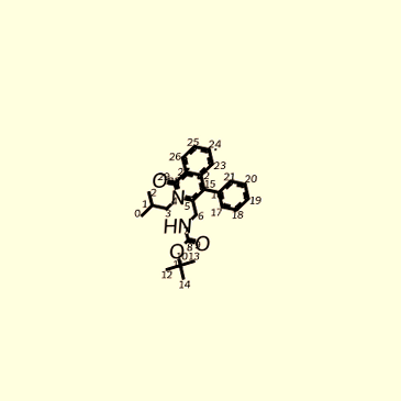 CC(C)Cn1c(CNC(=O)OC(C)(C)C)c(-c2ccccc2)c2c[c]ccc2c1=O